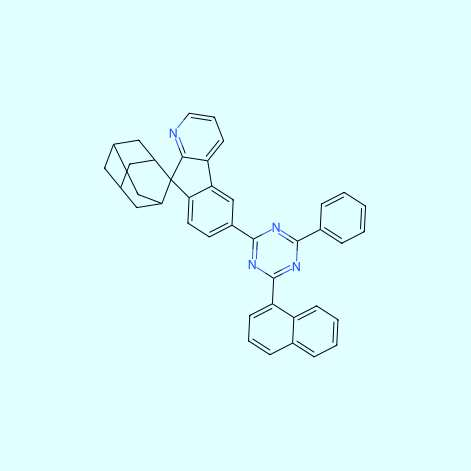 c1ccc(-c2nc(-c3ccc4c(c3)-c3cccnc3C43C4CC5CC(C4)CC3C5)nc(-c3cccc4ccccc34)n2)cc1